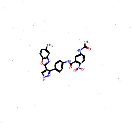 CC(=O)Nc1ccc([N+](=O)[O-])c(C(=O)Nc2ccc(-c3n[nH]cc3-c3nc4cc(C)ccc4o3)cc2)c1